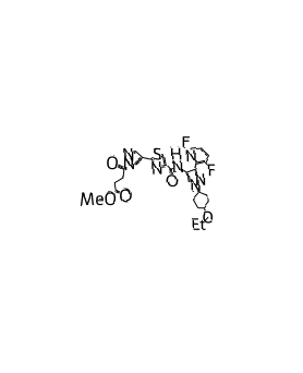 CCO[C@H]1CC[C@H](n2cc(NC(=O)c3csc(-c4cnn(C(=O)CCC(=O)OC)c4)n3)c(-c3nc(F)ccc3F)n2)CC1